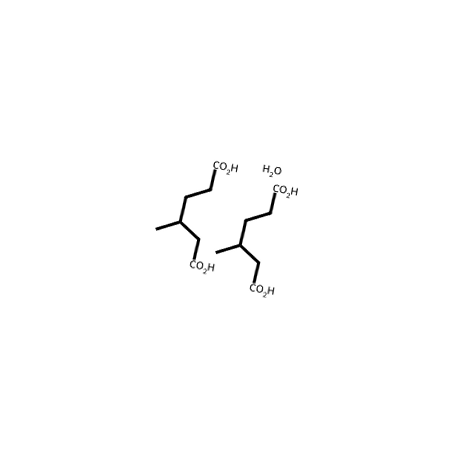 CC(CCC(=O)O)CC(=O)O.CC(CCC(=O)O)CC(=O)O.O